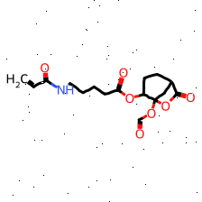 C=CC(=O)NCCCCC(=O)OC1CCC2CC1(OC=O)OC2=O